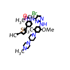 C#Cc1ccc(-c2ccc(Nc3nc(Nc4cc(C)c(N5CCC(N6CCN(C)CC6)CC5)cc4OC)ncc3Br)c(P(C)(C)=O)c2)s1